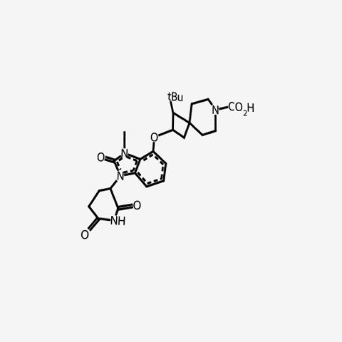 Cn1c(=O)n(C2CCC(=O)NC2=O)c2cccc(OC3CC4(CCN(C(=O)O)CC4)C3C(C)(C)C)c21